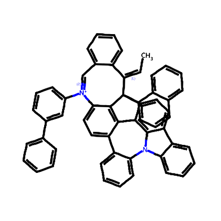 C/C=C1\c2ccccc2/C=[N+](/c2cccc(-c3ccccc3)c2)c2ccc3c4c2C1(c1cccc2ccccc12)c1ccc2c5ccccc5n(c2c1-4)-c1ccccc1-3